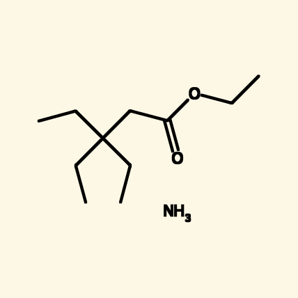 CCOC(=O)CC(CC)(CC)CC.N